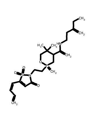 C=C/C=C\C1=CC(=O)N(CCP2(=C)CC(C(=C)NCCC(=C)CC)C(C)(C)CO2)S1(=O)=O